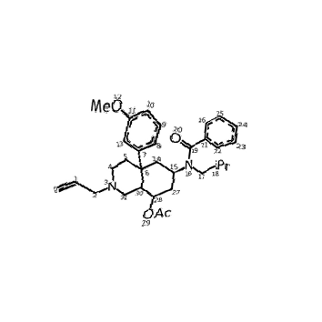 C=CCN1CCC2(c3cccc(OC)c3)C[C@@H](N(CC(C)C)C(=O)c3ccccc3)CC(OC(C)=O)C2C1